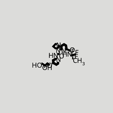 CC[C@@H](NC(=O)c1ccc2c(n1)N(C(=O)Nc1cc(OC[C@H](O)CO)ccn1)C1CCN2C1)C(F)(F)F